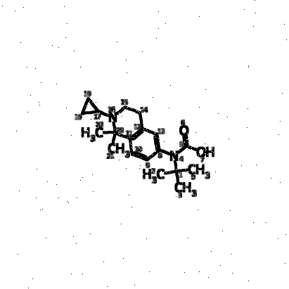 CC(C)(C)N(C(=O)O)c1ccc2c(c1)CCN(C1CC1)C2(C)C